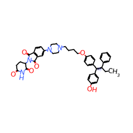 CC/C(=C(\c1ccc(O)cc1)c1ccc(OCCCCN2CCN(c3ccc4c(c3)C(=O)N(C3CCC(=O)NC3=O)C4=O)CC2)cc1)c1ccccc1